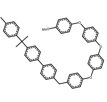 COc1ccc(Oc2ccc(Oc3ccc(Oc4ccc(Cc5ccc(-c6ccc(C(C)(C)c7ccc(C)cc7)cc6)cc5)cc4)cc3)cc2)cc1